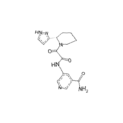 NC(=O)c1cncc(NC(=O)C(=O)N2CCCC[C@H]2c2cc[nH]n2)c1